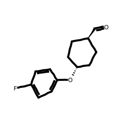 O=C[C@H]1CC[C@H](Oc2ccc(F)cc2)CC1